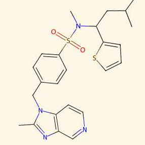 Cc1nc2cnccc2n1Cc1ccc(S(=O)(=O)N(C)C(CC(C)C)c2cccs2)cc1